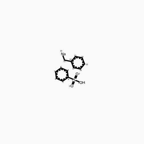 O=S(=O)(O)c1ccccc1.[Na][CH2]c1ccccc1